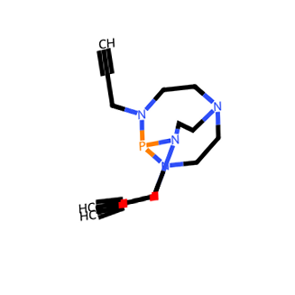 C#CCN1CCN2CCN(CC#C)P1N(CC#C)CC2